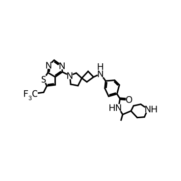 CC(NC(=O)c1ccc(NC2CC3(CCN(c4ncnc5sc(CC(F)(F)F)cc45)C3)C2)cc1)C1CCNCC1